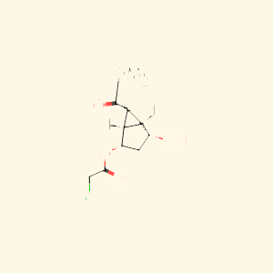 COC(=O)[C@]1(F)[C@@H]2[C@H]1[C@@H](O)C[C@H]2OC(=O)CCl